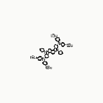 CC(C)(C)c1ccc(N(c2ccc(C(C)(C)C)cc2)c2ccc3c4c5ccc6c(c5ccc4n(-c4ccccc4)c3c2)c2ccc(N(c3ccc(C(C)(C)C)cc3)c3ccc(C(C)(C)C)cc3)cc2n6-c2ccccc2)cc1